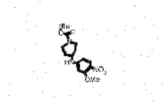 COc1cc(NC2CCN(C(=O)OC(C)(C)C)CC2)ccc1[N+](=O)[O-]